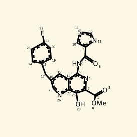 COC(=O)c1nc(NC(=O)c2cscn2)c2cc(Cc3ccc(F)cc3)cnc2c1O